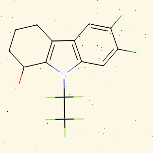 OC1CCCc2c1n(C(F)(F)C(F)(F)F)c1cc(Cl)c(Cl)cc21